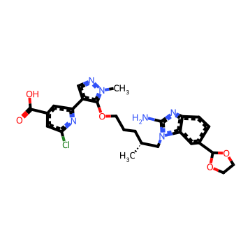 C[C@H](CCCOc1c(-c2cc(C(=O)O)cc(Cl)n2)cnn1C)Cn1c(N)nc2ccc(C3OCCO3)cc21